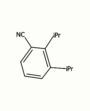 CC(C)c1cccc(C#N)c1C(C)C